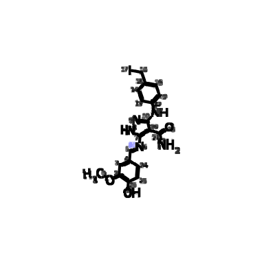 COc1cc(/C=N/c2[nH]nc(Nc3ccc(CI)cc3)c2C(N)=O)ccc1O